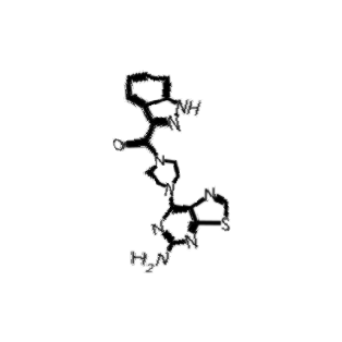 Nc1nc(N2CCN(C(=O)c3n[nH]c4ccccc34)CC2)c2ncsc2n1